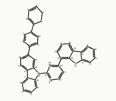 C1=CCCC(c2ccc(-c3ccc4c5ccccc5n(-c5nccc(-c6cccc7c6sc6ccccc67)n5)c4c3)cc2)=C1